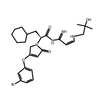 CC(C)(O)CN/C=C\C(=N)NC(=O)[C@H](CC1CCCCC1)N1CC(Oc2cccc(Br)c2)=CC1=O